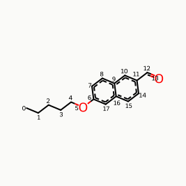 CCCCCOc1ccc2cc(C=O)ccc2c1